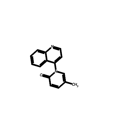 Cc1ccc(=O)n(-c2ccnc3ccccc23)c1